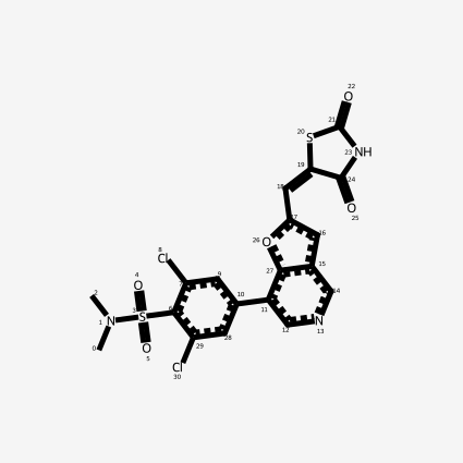 CN(C)S(=O)(=O)c1c(Cl)cc(-c2cncc3cc(C=C4SC(=O)NC4=O)oc23)cc1Cl